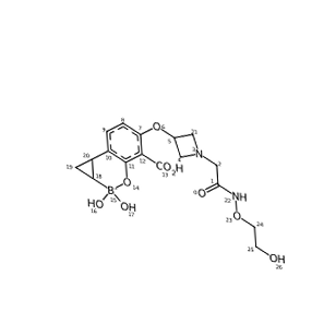 O=C(CN1CC(Oc2ccc3c(c2C(=O)O)O[B-](O)(O)C2CC32)C1)NOCCO